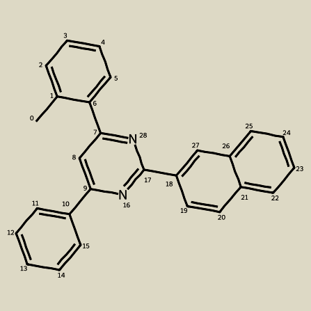 Cc1ccccc1-c1cc(-c2ccccc2)nc(-c2ccc3ccccc3c2)n1